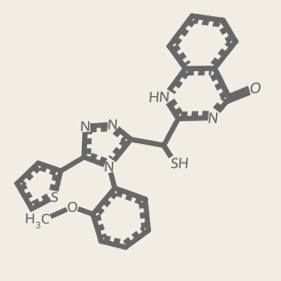 COc1ccccc1-n1c(-c2cccs2)nnc1C(S)c1nc(=O)c2ccccc2[nH]1